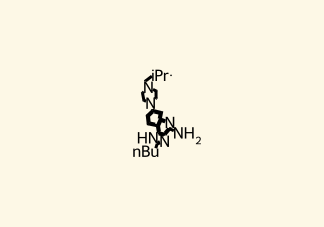 CCCCc1nc2c(N)nc3cc(N4CCN(C[C](C)C)CC4)ccc3c2[nH]1